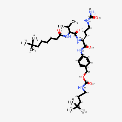 CC(C)C(NC(=O)CCCCCC(C)(C)C)C(=O)N[C@@H](CCCNC(N)=O)C(=O)Nc1ccc(COC(=O)NCCCC(C)(C)C)cc1